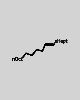 [CH2]CCCCCCC=CCCCCCCCCCCCC